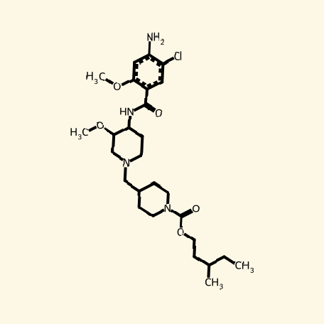 CCC(C)CCOC(=O)N1CCC(CN2CCC(NC(=O)c3cc(Cl)c(N)cc3OC)C(OC)C2)CC1